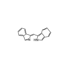 C1=NC(=Cc2[nH]cc3ccccc23)c2ccccc21